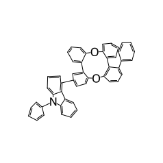 c1ccc(-c2cccc3c2-c2ccccc2Oc2ccccc2-c2cc(-c4cccc5c4c4ccccc4n5-c4ccccc4)ccc2O3)cc1